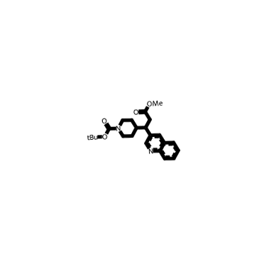 COC(=O)CC(c1cnc2ccccc2c1)C1CCN(C(=O)OC(C)(C)C)CC1